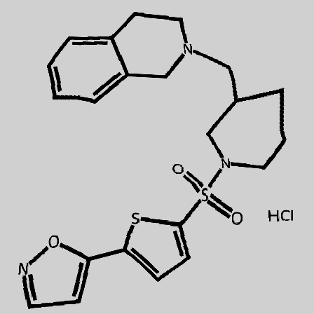 Cl.O=S(=O)(c1ccc(-c2ccno2)s1)N1CCCC(CN2CCc3ccccc3C2)C1